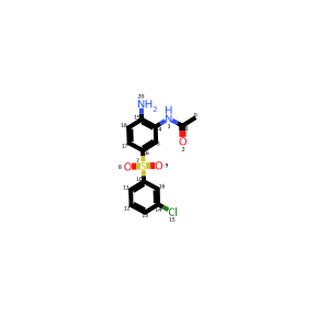 CC(=O)Nc1cc(S(=O)(=O)c2cccc(Cl)c2)ccc1N